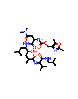 Cc1nc(COC(=O)NC(CC(=O)N(C)C)C(=O)NC(CC(C)C)C(O)CC(C)C(=O)NC(C(=O)NCC(C)C)C(C)C)c(C)o1